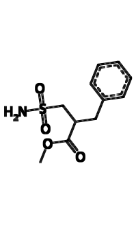 COC(=O)C(Cc1ccccc1)CS(N)(=O)=O